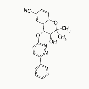 CC1(C)OC2C=CC(C#N)=CC2[C@@H](Oc2ccc(-c3ccccc3)nn2)[C@@H]1O